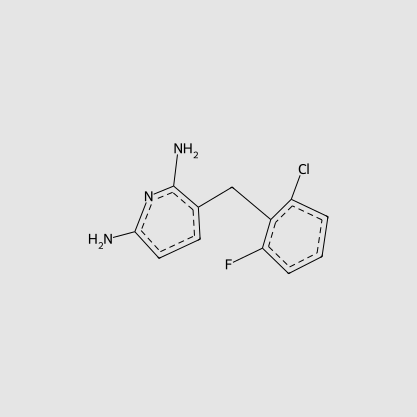 Nc1ccc(Cc2c(F)cccc2Cl)c(N)n1